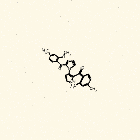 COc1cc(C)ccc1C(=O)c1cccn1-c1cc[nH]c1C(=O)c1ccc(C)cc1C